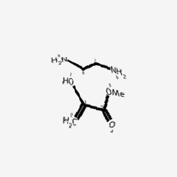 C=C(O)C(=O)OC.NCCN